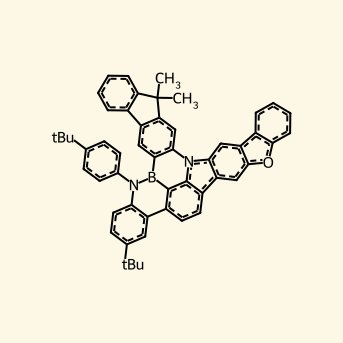 CC(C)(C)c1ccc(N2B3c4cc5c(cc4-n4c6cc7c(cc6c6ccc(c3c64)-c3cc(C(C)(C)C)ccc32)oc2ccccc27)C(C)(C)c2ccccc2-5)cc1